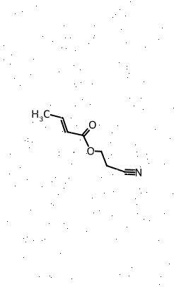 C/C=C/C(=O)OCCC#N